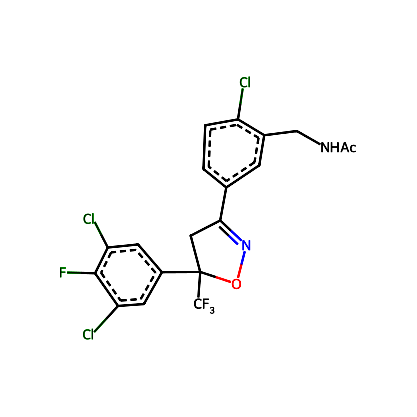 CC(=O)NCc1cc(C2=NOC(c3cc(Cl)c(F)c(Cl)c3)(C(F)(F)F)C2)ccc1Cl